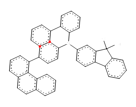 CC1(C)c2ccccc2-c2ccc(N(c3ccc(-c4cccc5ccc6ccccc6c45)cc3)c3ccccc3-c3ccccc3)cc21